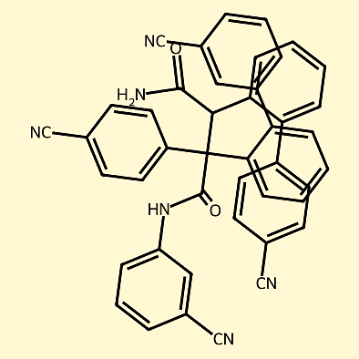 N#Cc1ccc(-c2ccccc2C(C(N)=O)C(C(=O)Nc2cccc(C#N)c2)(c2ccc(C#N)cc2)c2ccccc2-c2cccc(C#N)c2)cc1